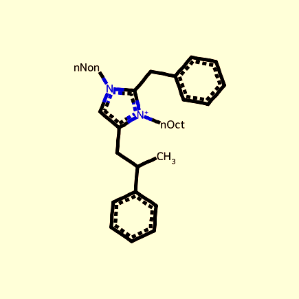 CCCCCCCCCn1cc(CC(C)c2ccccc2)[n+](CCCCCCCC)c1Cc1ccccc1